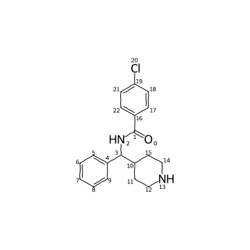 O=C(NC(c1ccccc1)C1CCNCC1)c1ccc(Cl)cc1